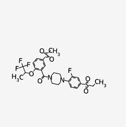 CCS(=O)(=O)c1ccc(N2CCN(C(=O)c3cc(S(C)(=O)=O)ccc3OC(C)C(F)(F)F)CC2)c(F)c1